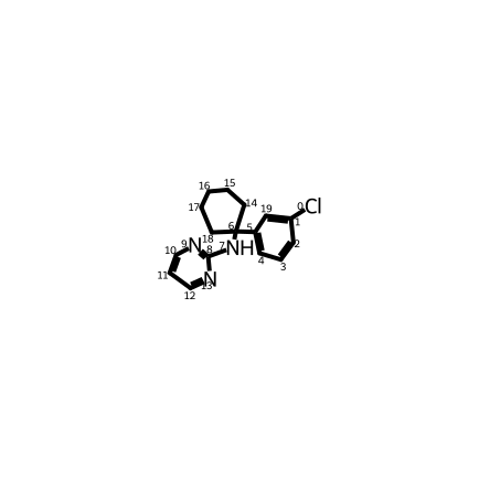 Clc1cccc(C2(Nc3ncccn3)CCCCC2)c1